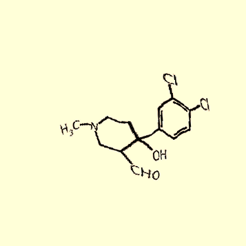 CN1CCC(O)(c2ccc(Cl)c(Cl)c2)C(C=O)C1